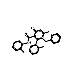 Cc1ccccc1NC(=O)c1c(-c2ccccc2C)n(Cc2ccccn2)c(C)cc1=O